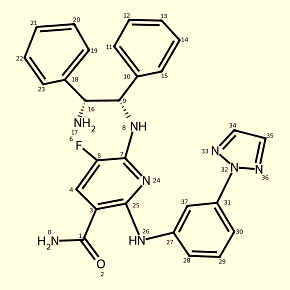 NC(=O)c1cc(F)c(N[C@@H](c2ccccc2)[C@H](N)c2ccccc2)nc1Nc1cccc(-n2nccn2)c1